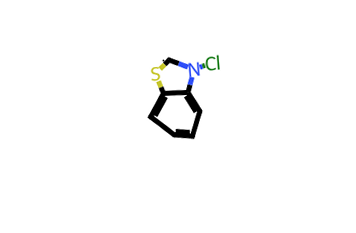 ClN1[CH]Sc2ccccc21